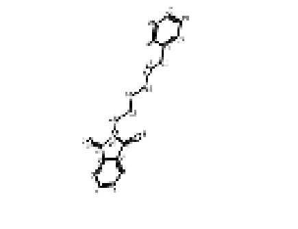 O=C1c2ccccc2C(=O)N1CCC[CH]OCc1ccccc1